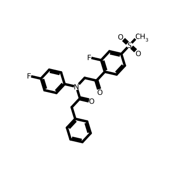 CS(=O)(=O)c1ccc(C(=O)CN(C(=O)Cc2ccccc2)c2ccc(F)cc2)c(F)c1